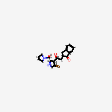 O=C1c2ccccc2CC1CC(=O)C1C(=S)CN[C@@H]1C(=O)N1CCCC1